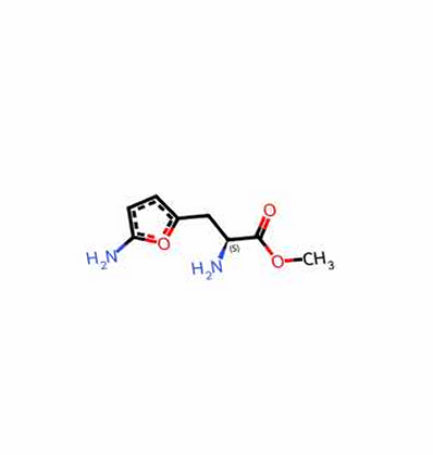 COC(=O)[C@@H](N)Cc1ccc(N)o1